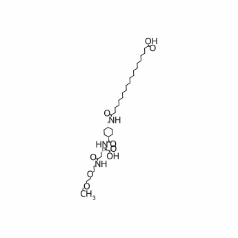 CCOCCOCCNC(=O)CC[C@H](NC(=O)[C@H]1CC[C@H](CNC(=O)CCCCCCCCCCCCCCCCCCC(=O)O)CC1)C(=O)O